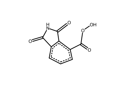 O=C1NC(=O)c2c1cccc2C(=O)OO